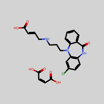 O=C(O)/C=C/CNCCCN1c2cc(Cl)ccc2NC(=O)c2ccccc21.O=C(O)/C=C\C(=O)O